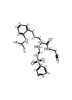 N#CCNC(=O)[C@H](CSCc1ccccc1OC(F)F)NC=NS(=O)(=O)c1ccccc1